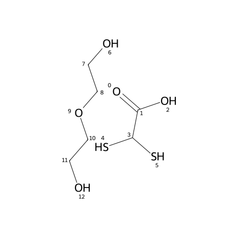 O=C(O)C(S)S.OCCOCCO